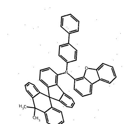 CC1(C)c2ccccc2C2(c3ccccc3-c3c(N(c4ccc(-c5ccccc5)cc4)c4cccc5c4oc4ccccc45)cccc32)c2ccccc21